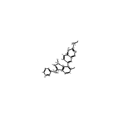 CNc1ncc2cc(-c3c(C)ccc4c(Nc5cccnc5)nn(C)c34)ccc2n1